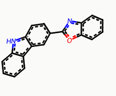 c1ccc2oc(-c3ccc4[nH]c5ccccc5c4c3)nc2c1